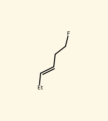 [CH2]C/C=C/CCF